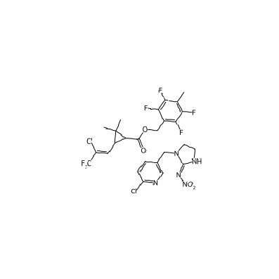 Cc1c(F)c(F)c(COC(=O)C2C(/C=C(\Cl)C(F)(F)F)C2(C)C)c(F)c1F.O=[N+]([O-])/N=C1\NCCN1Cc1ccc(Cl)nc1